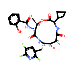 C[C@H]1OC(=O)C(C2CCC2)NC(=O)[C@H](C)[C@H](O)[C@H](Cc2cc(F)c(F)nc2F)NC(=O)[C@H]1NC(=O)c1ccccc1O